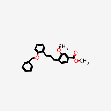 COC(=O)c1ccc(CCCc2ccccc2OCc2ccccc2)c(OC)c1